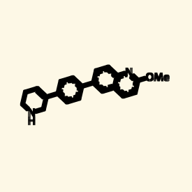 COc1ccc2cc(-c3ccc(C4=CCCNC4)cc3)ccc2n1